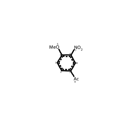 [CH2]C(=O)c1ccc(OC)c([N+](=O)[O-])c1